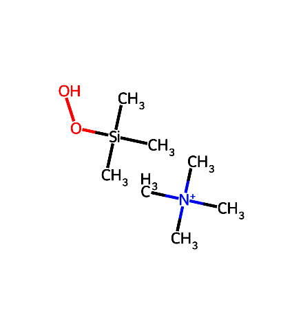 C[N+](C)(C)C.C[Si](C)(C)OO